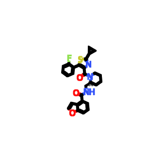 O=C(NC[C@@H]1CCCCN1C(=O)c1nc(C2CC2)sc1-c1ccccc1F)c1cccc2occc12